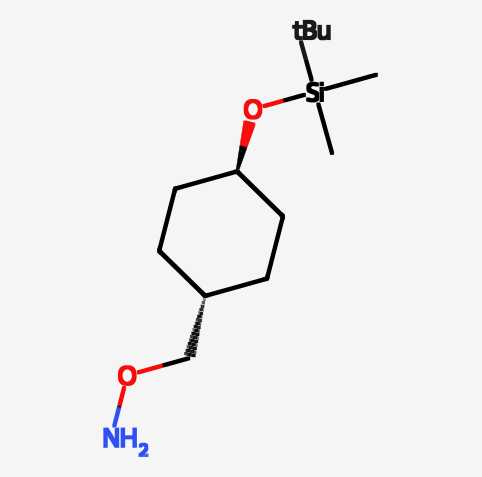 CC(C)(C)[Si](C)(C)O[C@H]1CC[C@H](CON)CC1